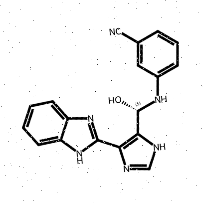 N#Cc1cccc(N[C@@H](O)c2[nH]cnc2-c2nc3ccccc3[nH]2)c1